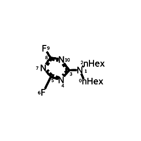 CCCCCCN(CCCCCC)c1nc(F)nc(F)n1